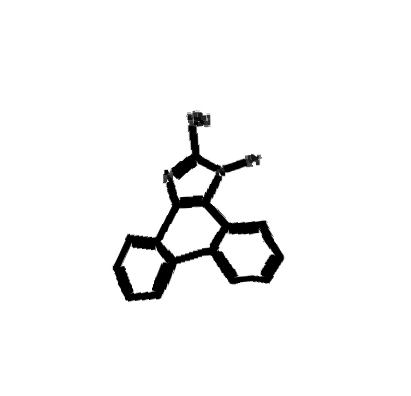 CC(C)n1c(C(C)(C)C)nc2c3ccccc3c3ccccc3c21